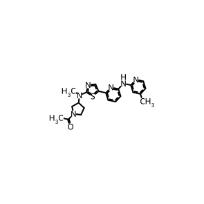 CC(=O)N1CCC(N(C)c2ncc(-c3cccc(Nc4cc(C)ccn4)n3)s2)C1